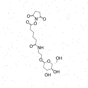 O=C(CCCCC(=O)ON1C(=O)CCC1=O)NCCO[C@@H]1C[C@@H](O)[C@H](O)[C@@H](CO)O1